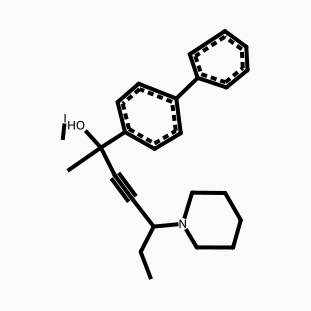 CCC(C#CC(C)(O)c1ccc(-c2ccccc2)cc1)N1CCCCC1.CI